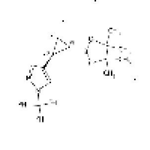 [2H]C([2H])([2H])n1cc([C@H]2C[C@@H]2B2OC(C)(C)C(C)(C)O2)cn1